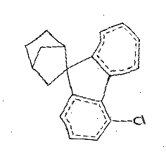 Clc1cccc2c1-c1ccccc1C21CC2CCC1C2